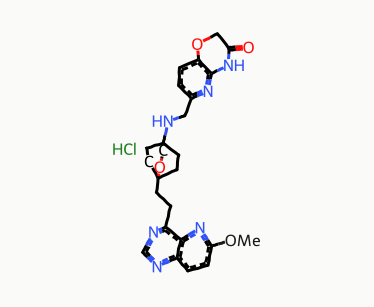 COc1ccc2ncnc(CCC34CCC(NCc5ccc6c(n5)NC(=O)CO6)(CC3)CO4)c2n1.Cl